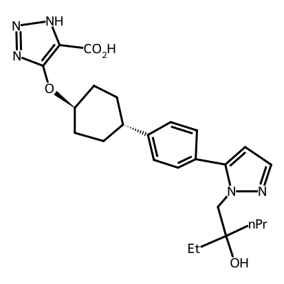 CCCC(O)(CC)Cn1nccc1-c1ccc([C@H]2CC[C@H](Oc3nn[nH]c3C(=O)O)CC2)cc1